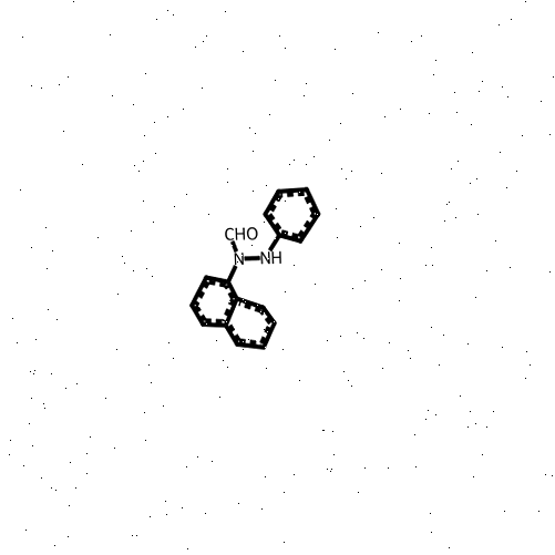 O=CN(Nc1ccccc1)c1cccc2ccccc12